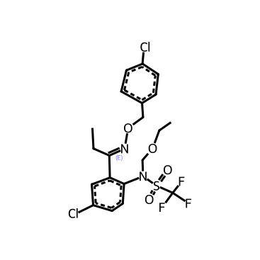 CCOCN(c1ccc(Cl)cc1/C(CC)=N/OCc1ccc(Cl)cc1)S(=O)(=O)C(F)(F)F